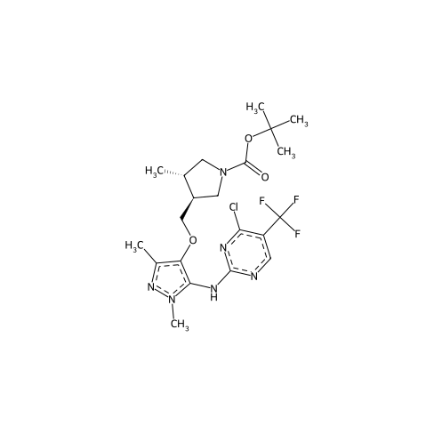 Cc1nn(C)c(Nc2ncc(C(F)(F)F)c(Cl)n2)c1OC[C@@H]1CN(C(=O)OC(C)(C)C)C[C@H]1C